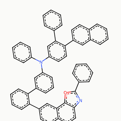 c1ccc(-c2nc3ccc4ccc(-c5ccccc5-c5cccc(N(c6ccccc6)c6ccc(-c7ccc8ccccc8c7)c(-c7ccccc7)c6)c5)cc4c3o2)cc1